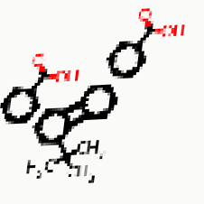 CC(C)(C)c1cccc2c1=c1ccccc1=2.O=C(O)c1ccccc1.O=C(O)c1ccccc1